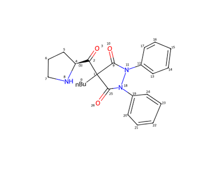 CCCCC1(C(=O)[C@@H]2CCCN2)C(=O)N(c2ccccc2)N(c2ccccc2)C1=O